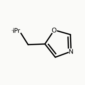 C[C](C)Cc1cnco1